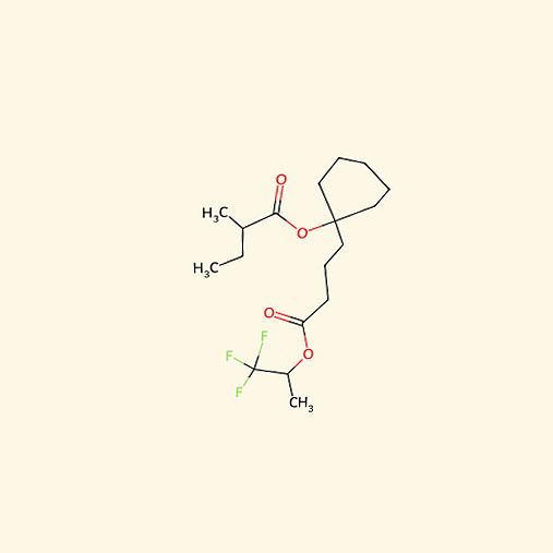 CCC(C)C(=O)OC1(CCCC(=O)OC(C)C(F)(F)F)CCCCC1